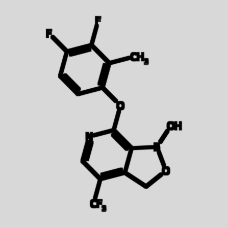 Cc1c(Oc2ncc(C(F)(F)F)c3c2B(O)OC3)ccc(F)c1F